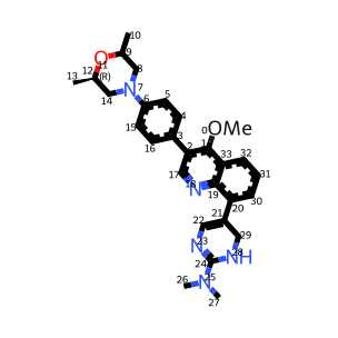 COc1c(-c2ccc(N3CC(C)O[C@H](C)C3)cc2)cnc2c(C3=CN=C(N(C)C)NC3)cccc12